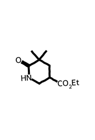 CCOC(=O)C1CNC(=O)C(C)(C)C1